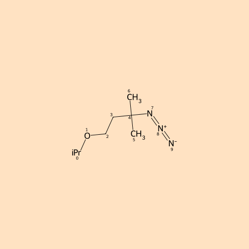 CC(C)OCCC(C)(C)N=[N+]=[N-]